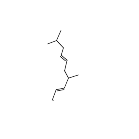 [CH2]C=CC(C)CC=CCC(C)C